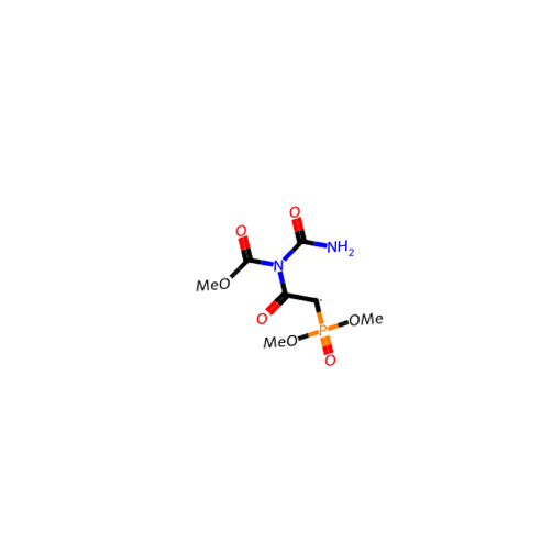 COC(=O)N(C(N)=O)C(=O)[CH]P(=O)(OC)OC